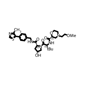 COCCN1CCO[C@H](C(=O)N[C@H](C(=O)N2C[C@H](O)C[C@H]2C(=O)NCc2ccc(-c3scnc3C)cc2)C(C)(C)C)C1